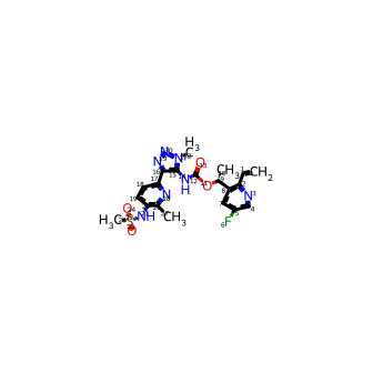 C=Cc1ncc(F)cc1[C@@H](C)OC(=O)Nc1c(-c2ccc(NS(C)(=O)=O)c(C)n2)nnn1C